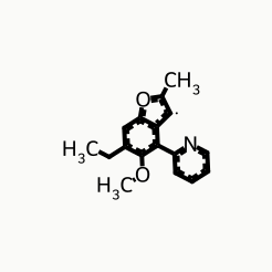 CCc1cc2oc(C)[c]c2c(-c2ccccn2)c1OC